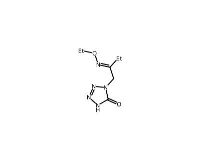 CCON=C(CC)Cn1nn[nH]c1=O